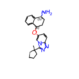 CC1(c2nnc3ccc(O[C@@H]4CC[C@H](N)c5ccccc54)cn23)CCCC1